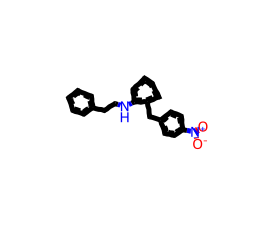 O=[N+]([O-])c1ccc(Cc2ccccc2NCCc2ccccc2)cc1